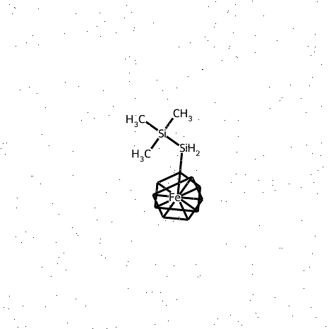 C[Si](C)(C)[SiH2][C]12[CH]3[CH]4[CH]5[CH]1[Fe]45321678[CH]2[CH]1[CH]6[CH]7[CH]28